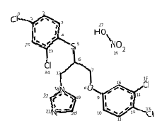 Clc1ccc(SC(COc2ccc(Cl)c(Cl)c2)Cn2ccnc2)c(Cl)c1.O=[N+]([O-])O